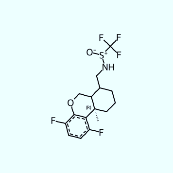 C[C@@]12CCCC(CN[S+]([O-])C(F)(F)F)C1COc1c(F)ccc(F)c12